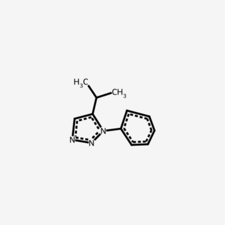 CC(C)c1cnnn1-c1ccccc1